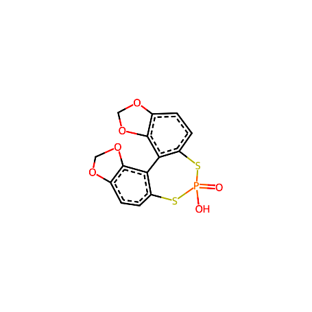 O=P1(O)Sc2ccc3c(c2-c2c(ccc4c2OCO4)S1)OCO3